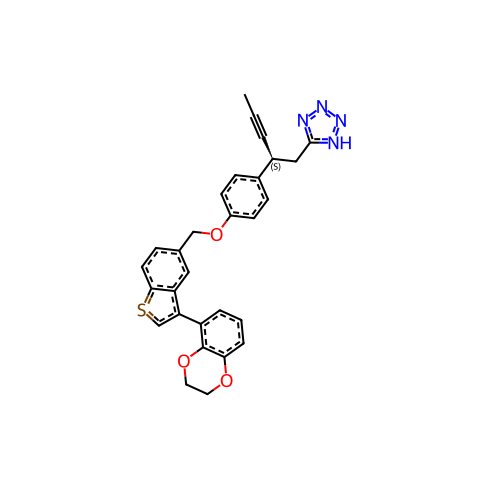 CC#C[C@@H](Cc1nnn[nH]1)c1ccc(OCc2ccc3scc(-c4cccc5c4OCCO5)c3c2)cc1